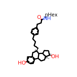 CCCCCCNC(=O)CCc1ccc(CCCC[C@@H]2Cc3cc(O)ccc3C3CC[C@@]4(C)C(CC[C@@H]4O)C32)cc1